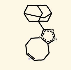 C1=C\CCn2c(nnc2C23CC4CC(CC(C4)C2)C3)CC/1